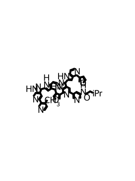 Cc1ccncc1-c1cc2c(-c3cc4c(-c5cocc5-c5nc(-c6cncc(NC(=O)CC(C)C)c6)cc6c(-c7cc8c(-c9ccoc9)nccc8[nH]7)n[nH]c56)nccc4[nH]3)n[nH]c2cn1